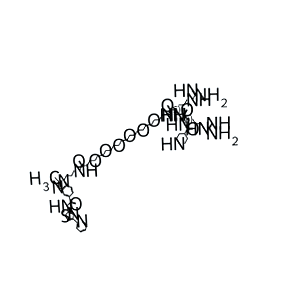 Cc1nc2cc(C(=O)Nc3nc(-c4ccccn4)cs3)ccc2n1CCCNC(=O)CCOCCOCCOCCOCCOCCOCCNC(=O)[C@H](CCCNC(=N)N)NC(=O)[C@H](CCCNC(=N)N)NC(=O)C1CCNCC1